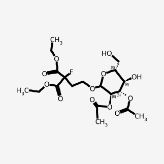 CCOC(=O)C(F)(CCOC1O[C@H](CO)[C@@H](O)[C@H](OC(C)=O)[C@H]1OC(C)=O)C(=O)OCC